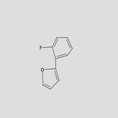 Fc1ccccc1-c1[c]cco1